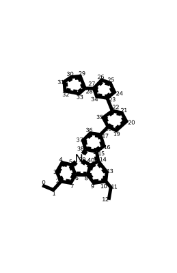 CCc1ccc2c(c1)c1cc(CC)cc3c4cc(-c5cccc(-c6cccc(-c7ccccc7)c6)c5)ccc4n2c13